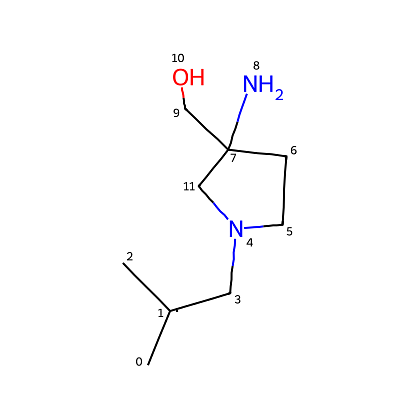 C[C](C)CN1CCC(N)(CO)C1